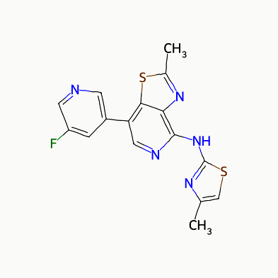 Cc1csc(Nc2ncc(-c3cncc(F)c3)c3sc(C)nc23)n1